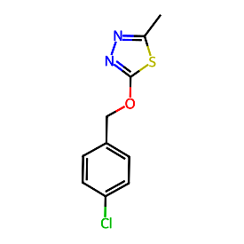 Cc1nnc(OCc2ccc(Cl)cc2)s1